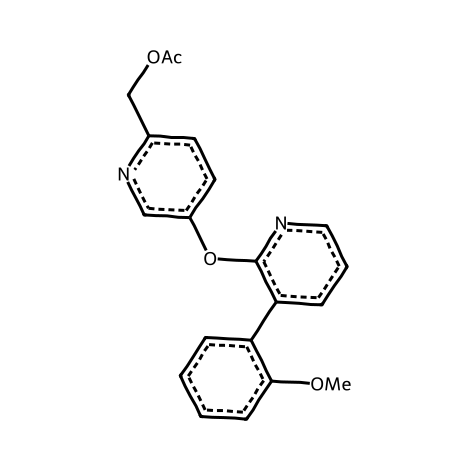 COc1ccccc1-c1cccnc1Oc1ccc(COC(C)=O)nc1